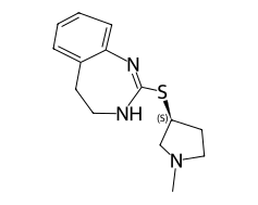 CN1CC[C@H](SC2=Nc3ccccc3CCN2)C1